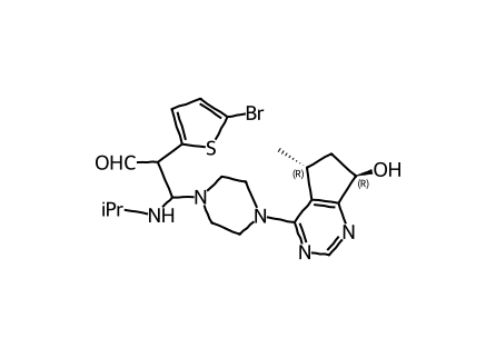 CC(C)NC(C(C=O)c1ccc(Br)s1)N1CCN(c2ncnc3c2[C@H](C)C[C@H]3O)CC1